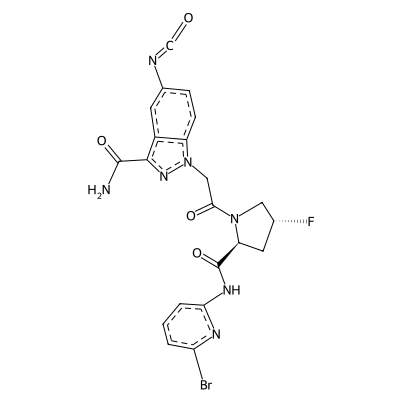 NC(=O)c1nn(CC(=O)N2C[C@H](F)C[C@H]2C(=O)Nc2cccc(Br)n2)c2ccc(N=C=O)cc12